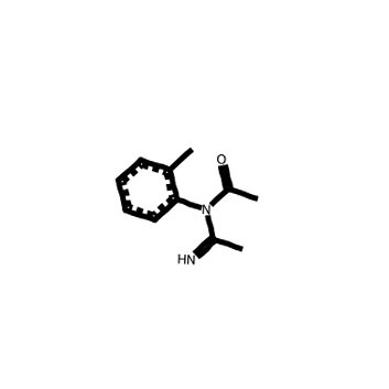 CC(=N)N(C(C)=O)c1ccccc1C